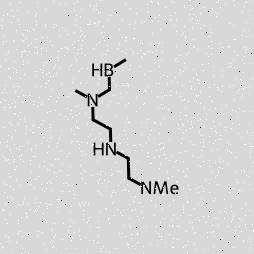 CBCN(C)CCNCCNC